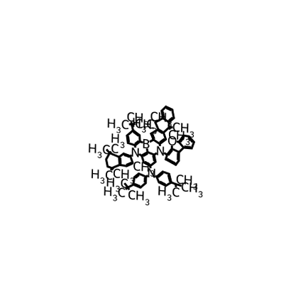 Cc1cc2c(cc1N1c3ccc(C(C)(C)C)cc3B3c4cc5c(cc4N(c4cccc6c4oc4ccccc46)c4cc(N(c6ccc(C(C)(C)C)cc6)c6ccc(C(C)(C)C)cc6)cc1c43)C(C)(C)c1ccccc1C5(C)C)C(C)(C)CCC2(C)C